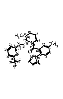 Cc1ccc(-n2nccn2)c(C(=O)N2CCC[C@@H](C)[C@H]2CNc2cccc(C(F)(F)F)n2)c1